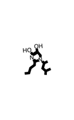 CCCCC1=NC(O)=C(O)CN1C(C)CC(C)C